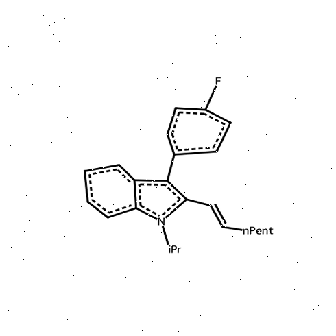 CCCCC/C=C/c1c(-c2ccc(F)cc2)c2ccccc2n1C(C)C